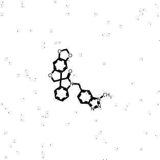 Cn1nnc2ccc(CN3C(=O)C4(COc5cc6c(cc54)OCO6)c4ccccc43)cc21